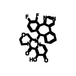 O=C1c2c(O)c(=O)ccn2N(C2c3ccccc3-c3cncnc3-c3c2ccc(F)c3F)C2COCCN12